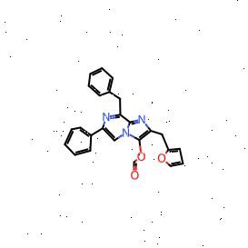 O=COc1c(Cc2ccco2)nc2c(Cc3ccccc3)nc(-c3ccccc3)cn12